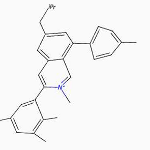 Cc1ccc(-c2cc(CC(C)C)cc3cc(-c4cc(C)cc(C)c4C)[n+](C)cc23)cc1